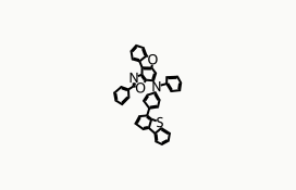 c1ccc(-c2nc3c(o2)c(N(c2ccccc2)c2ccc(-c4cccc5c4sc4ccccc45)cc2)cc2oc4ccccc4c23)cc1